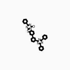 O=c1nc(-c2ccccc2)nc2sc3cc(-c4cccc(-c5nc(-c6ccccc6)nc(-c6ccccc6)n5)c4)ccc3n12